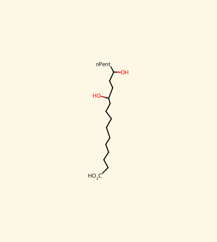 CCCCCC(O)CCC(O)CCCCCCCCCC(=O)O